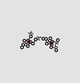 Cc1nc2ccc(-c3cccc4c(-c5cccc6c5C5(c7ccccc7-c7ccccc75)c5ccc7ccccc7c5-6)c5cccc(-c6ccc7nc(Cc8ccc9c%10c(ccc9c8)C8(c9ccccc9-c9ccccc98)c8c-%10cccc8-c8c9cccc(-n%10c(C)nc%11ccccc%11%10)c9cc9c(-n%10c(C)nc%11ccccc%11%10)cccc89)n(C)c7c6)c5cc34)cc2n1C